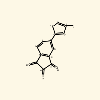 Cc1csc(-c2ccc3c(=O)c(=O)c(=O)c3c2)c1